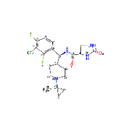 O=C1NCC(C(=O)N[C@H](c2ccc(F)c(Cl)c2F)C2CCN(C3(C(F)(F)F)CC3)CC2)N1